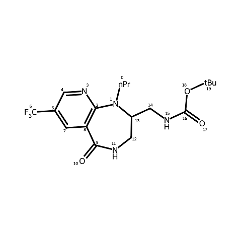 CCCN1c2ncc(C(F)(F)F)cc2C(=O)NCC1CNC(=O)OC(C)(C)C